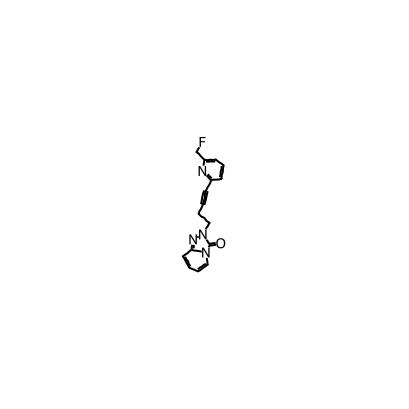 O=c1n(CCC#Cc2cccc(CF)n2)nc2ccccn12